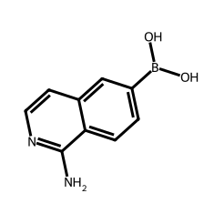 Nc1nccc2cc(B(O)O)ccc12